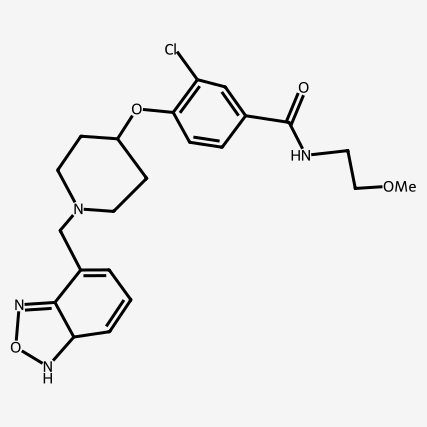 COCCNC(=O)c1ccc(OC2CCN(CC3=CC=CC4NON=C34)CC2)c(Cl)c1